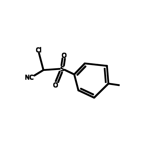 Cc1ccc(S(=O)(=O)C(Cl)C#N)cc1